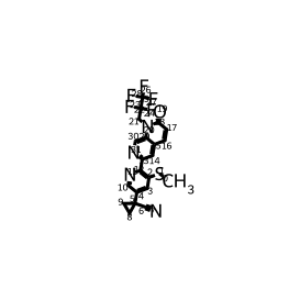 CSc1cc(C2(C#N)CC2)cnc1-c1cc2ccc(=O)n(CC(F)(F)C(F)(F)F)c2cn1